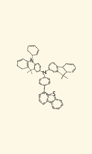 CC1(C)C2=C(C=CCC2)N(C2C=CC=CC2)c2ccc(N(c3ccc(-c4cccc5c4sc4ccccc45)cc3)c3ccc4c(c3)C(C)(C)C3C=CC=CC43)cc21